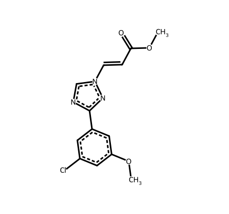 COC(=O)C=Cn1cnc(-c2cc(Cl)cc(OC)c2)n1